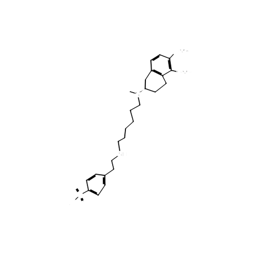 CCCN(CCCCCCNCCc1ccc(S(C)(=O)=O)cc1)[C@@H]1CCc2c(ccc(OC)c2OC)C1